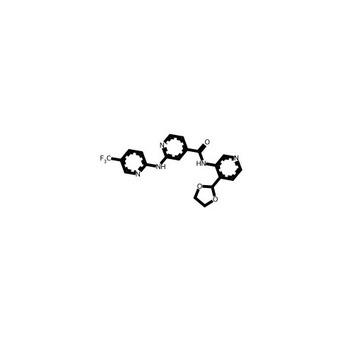 O=C(Nc1cnccc1C1OCCO1)c1ccnc(Nc2ccc(C(F)(F)F)cn2)c1